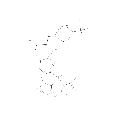 COc1nc2ccc(C(O)(c3c(C)noc3C)c3cnnn3C)cc2c(Cl)c1Cc1ccc(C(F)(F)F)cc1